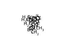 C=C(Br)/C=N\C(=C/C)C(=C)CCC1(CCC)Cc2ccccc2[C@H]1NC(=O)OC(C)(C)C